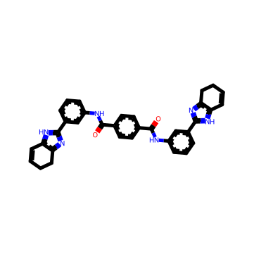 O=C(Nc1cccc(-c2nc3c([nH]2)C=CCC3)c1)c1ccc(C(=O)Nc2cccc(-c3nc4c([nH]3)C=CCC4)c2)cc1